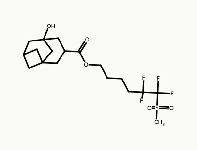 CS(=O)(=O)C(F)(F)C(F)(F)CCCCOC(=O)C1CC2(O)CC3CC(C3)(C1)C2